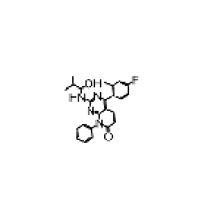 Cc1cc(F)ccc1-c1nc(NC(O)C(C)C)nc2c1ccc(=O)n2-c1ccccc1